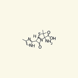 Cc1c[nH]c(C2C(=O)N3[C@@H]2SC(C)(C)C3(N)C(=O)O)n1